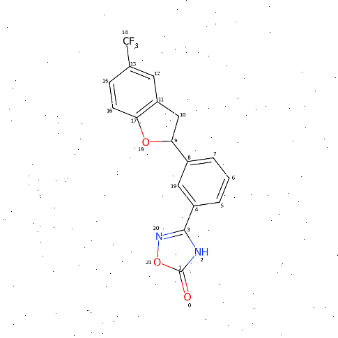 O=c1[nH]c(-c2cccc(C3Cc4cc(C(F)(F)F)ccc4O3)c2)no1